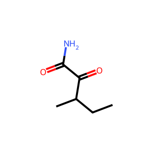 CCC(C)C(=O)C(N)=O